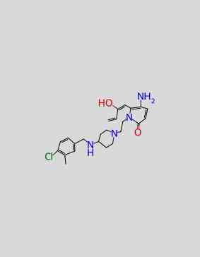 C=C/C(O)=C\c1c(N)ccc(=O)n1CCN1CCC(NCc2ccc(Cl)c(C)c2)CC1